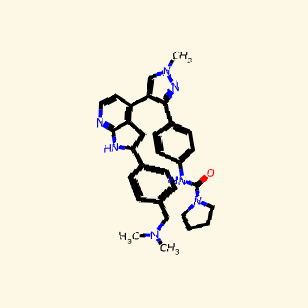 CN(C)Cc1ccc(C2Cc3c(-c4cn(C)nc4-c4ccc(NC(=O)N5CCCC5)cc4)ccnc3N2)cc1